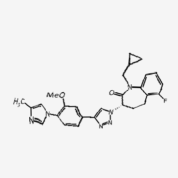 COc1cc(-c2cn([C@H]3CCc4c(F)cccc4N(CC4CC4)C3=O)nn2)ccc1-n1cnc(C)c1